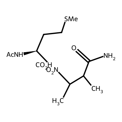 CC(C(N)=O)C(C)[N+](=O)[O-].CSCC[C@H](NC(C)=O)C(=O)O